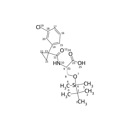 CC(C)(C)[Si](C)(C)OC[C@H](NC(=O)C1(c2cccc(Cl)c2)CC1)C(=O)O